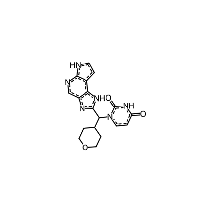 O=c1ccn(C(c2nc3cnc4[nH]ccc4c3[nH]2)C2CCOCC2)c(=O)[nH]1